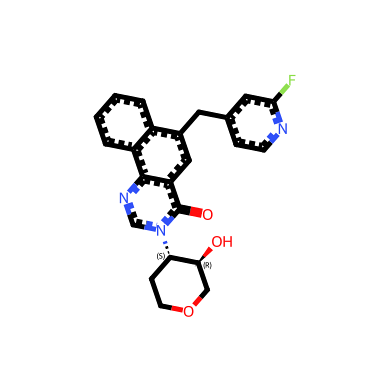 O=c1c2cc(Cc3ccnc(F)c3)c3ccccc3c2ncn1[C@H]1CCOC[C@@H]1O